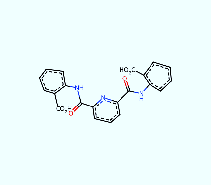 O=C(Nc1ccccc1C(=O)O)c1cccc(C(=O)Nc2ccccc2C(=O)O)n1